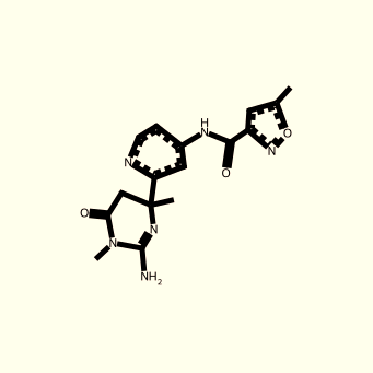 Cc1cc(C(=O)Nc2ccnc(C3(C)CC(=O)N(C)C(N)=N3)c2)no1